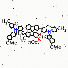 CCCCCCCCOc1cc2c(cc1OCCCCCCCC)C1(c3cc(-c4ccc5c(c4)CCc4cc(C)ccc4N5c4ccc5cc(OC)ccc5c4)ccc3-c3ccc(-c4ccc5c(c4)Oc4cc(C)ccc4N5c4ccc5cc(OC)ccc5c4)cc31)c1cc(C)c(C)cc1-2